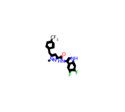 Cn1nc(C(=O)Nc2c[nH]c3cc(F)c(F)cc23)cc1Cc1ccc(C(F)(F)F)cc1